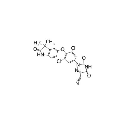 CC1(C)C(=O)Nc2ccc(Oc3c(Cl)cc(-n4nc(C#N)c(=O)[nH]c4=O)cc3Cl)cc21